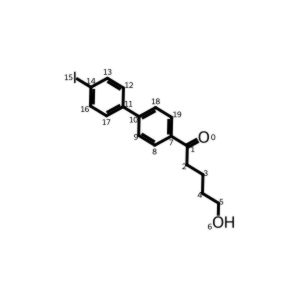 O=C(CCCCO)c1ccc(-c2ccc(I)cc2)cc1